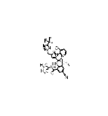 Cc1cc(C#N)cc(C(=O)NC(C)C)c1NC(=O)c1cc(Cn2nnc(C(F)(F)F)n2)nn1-c1ncccc1Cl